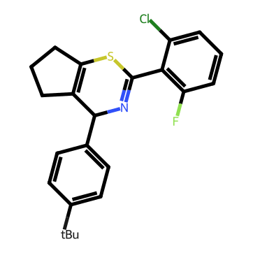 CC(C)(C)c1ccc(C2N=C(c3c(F)cccc3Cl)SC3=C2CCC3)cc1